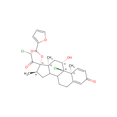 C[C@@H]1CC2C3CCC4=CC(=O)C=C[C@]4(C)[C@@]3(Cl)[C@@H](O)C[C@]2(C)[C@]1(OC(=O)c1ccco1)C(=O)CCl